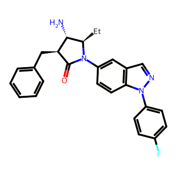 CC[C@@H]1[C@@H](N)[C@H](Cc2ccccc2)C(=O)N1c1ccc2c(cnn2-c2ccc(F)cc2)c1